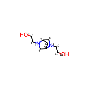 OCCN1CC2CC1CN2CCO